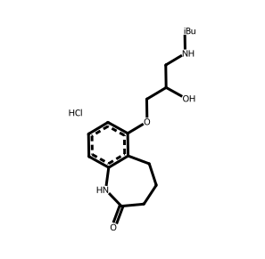 CCC(C)NCC(O)COc1cccc2c1CCCC(=O)N2.Cl